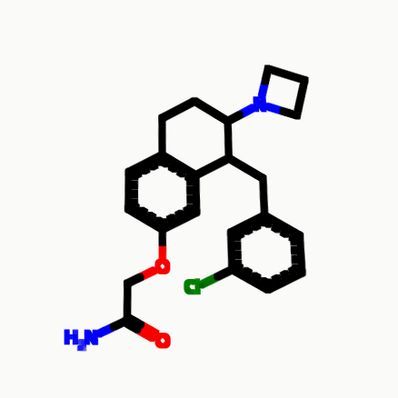 NC(=O)COc1ccc2c(c1)C(Cc1cccc(Cl)c1)C(N1CCC1)CC2